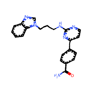 NC(=O)c1ccc(-c2ccnc(NCCCn3cnc4ccccc43)n2)cc1